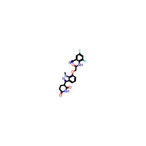 Cn1nc(C2CCC(=O)NC2=O)c2cccc(OCC(=O)Nc3c(F)cc(F)cc3C#N)c21